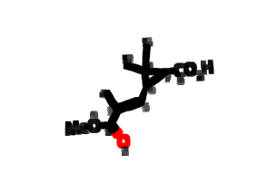 COC(=O)/C(C)=C/[C@@H]1[C@H](C(=O)O)C1(C)C